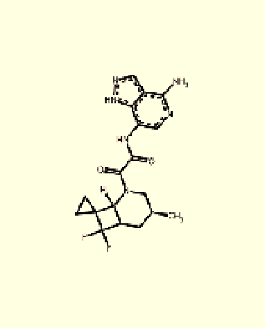 C[C@H]1CC2[C@@H](N(C(=O)C(=O)Nc3cnc(N)c4cn[nH]c34)C1)C1(CC1)C2(F)F